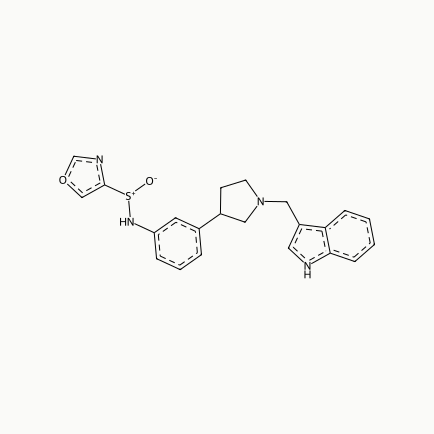 [O-][S+](Nc1cccc(C2CCN(Cc3c[nH]c4ccccc34)C2)c1)c1cocn1